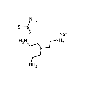 NC(=S)[S-].NCCN(CCN)CCN.[Na+]